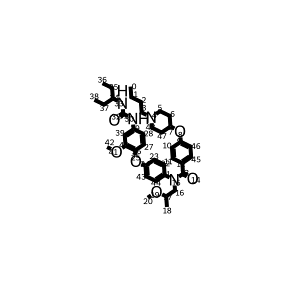 CCCCN1CCC(Oc2ccc(C(=O)N(CC(C)OC)c3ccc(Oc4ccc(NC(=O)NC(CC)CC)cc4OC)cc3)cc2)CC1